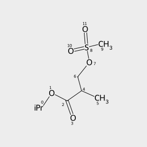 CC(C)OC(=O)C(C)COS(C)(=O)=O